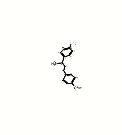 COc1ccc(CCC(N)c2ccc(C(F)(F)F)cc2)cc1